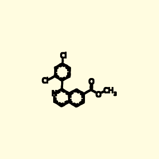 COC(=O)c1ccc2ccnc(-c3ccc(Cl)cc3Cl)c2c1